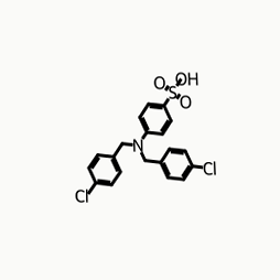 O=S(=O)(O)c1ccc(N(Cc2ccc(Cl)cc2)Cc2ccc(Cl)cc2)cc1